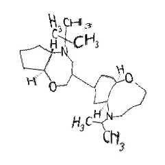 CC(C)N1CCCO[C@@H]2CC(C3CO[C@H]4CCC[C@@H]4N(C(C)(C)C)C3)C[C@@H]21